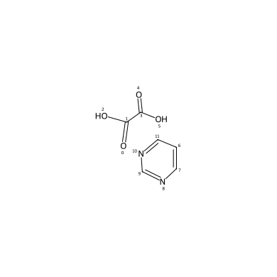 O=C(O)C(=O)O.c1cncnc1